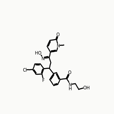 Cn1cc(/C(CC(c2cccc(C(=O)NCCO)c2)c2ccc(Cl)cc2F)=N\O)ccc1=O